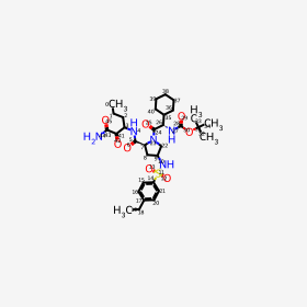 CCCC(NC(=O)[C@@H]1CC(NS(=O)(=O)c2ccc(CC)cc2)CN1C(=O)[C@@H](NC(=O)OC(C)(C)C)C1CCCCC1)C(=O)C(N)=O